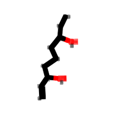 C=CC(O)CCCC(O)CC